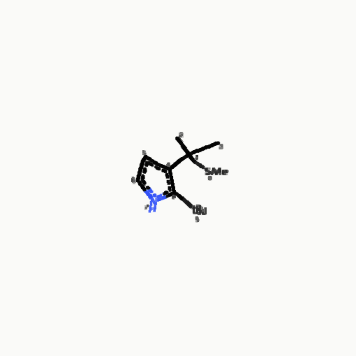 CSC(C)(C)c1cc[nH]c1C(C)(C)C